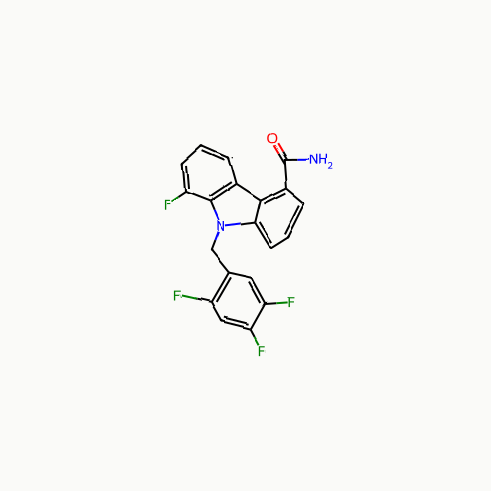 NC(=O)c1cccc2c1c1[c]ccc(F)c1n2Cc1cc(F)c(F)cc1F